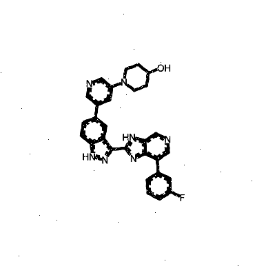 OC1CCN(c2cncc(-c3ccc4[nH]nc(-c5nc6c(-c7cccc(F)c7)cncc6[nH]5)c4c3)c2)CC1